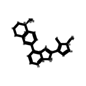 Cc1c(-c2nc3c(-c4ccc5c(c4)CCC[C@@H]5N)ccnc3[nH]2)cnn1C(C)C